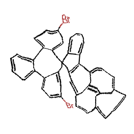 Brc1ccc2c(c1)C1(c3cc(Br)ccc3-c3ccccc3-2)c2ccccc2-c2c1cc1ccc3cccc4ccc2c1c34